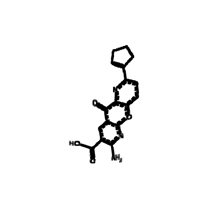 Nc1nc2oc3ccc(C4=CCCC4)nc3c(=O)c2cc1C(=O)O